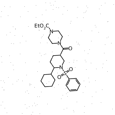 CCOC(=O)N1CCN(C(=O)C2CCC(C3CCCCC3)N(S(=O)(=O)c3ccccc3)C2)CC1